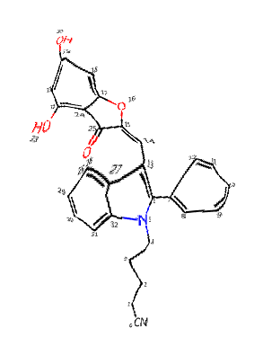 N#CCCCCn1c(-c2ccccc2)c(/C=C2/Oc3cc(O)cc(O)c3C2=O)c2ccccc21